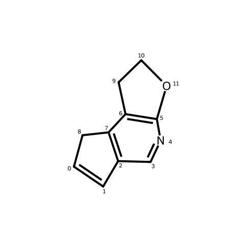 C1=Cc2cnc3c(c2C1)CCO3